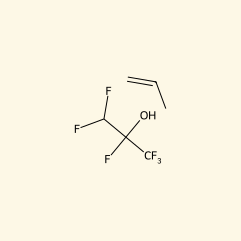 C=CC.OC(F)(C(F)F)C(F)(F)F